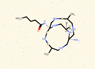 CC1CNC[C@]2(N)CNCC(C)CNC[C@](NC(=O)CCCC(=O)O)(CNC1)NC[C@@H](C)N2